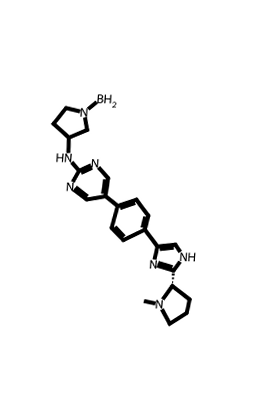 BN1CCC(Nc2ncc(-c3ccc(-c4c[nH]c([C@@H]5CCCN5C)n4)cc3)cn2)C1